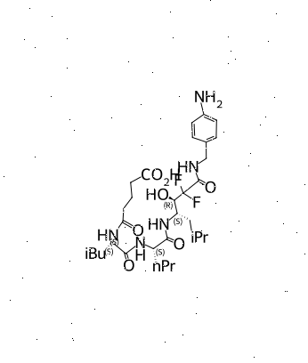 CCC[C@H](NC(=O)[C@@H](NC(=O)CCCC(=O)O)[C@@H](C)CC)C(=O)N[C@@H](CC(C)C)[C@@H](O)C(F)(F)C(=O)NCc1ccc(N)cc1